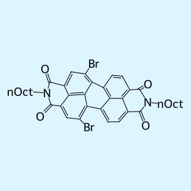 CCCCCCCCN1C(=O)c2ccc3c4c(Br)cc5c6c(cc(Br)c(c7ccc(c2c37)C1=O)c64)C(=O)N(CCCCCCCC)C5=O